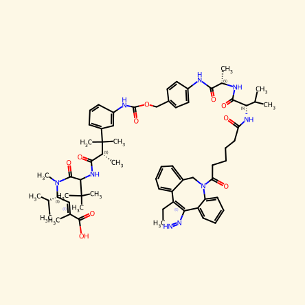 CC/C1=C(\N=N)c2ccccc2N(C(=O)CCCCC(=O)N[C@H](C(=O)N[C@@H](C)C(=O)Nc2ccc(COC(=O)Nc3cccc(C(C)(C)[C@H](C)C(=O)NC(C(=O)N(C)[C@H](/C=C(\C)C(=O)O)C(C)C)C(C)(C)C)c3)cc2)C(C)C)Cc2ccccc21